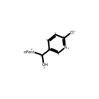 CCCCCC(O)c1ccc(Cl)nc1